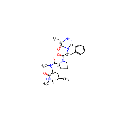 CNC(=O)[C@H](CC(C)C)N(C)C(=O)[C@@H]1CCCN1C(=O)[C@H](Cc1ccccc1)N(C)C(=O)[C@H](C)N